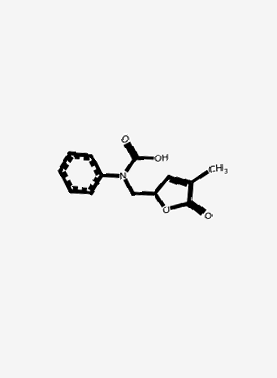 CC1=CC(CN(C(=O)O)c2ccccc2)OC1=O